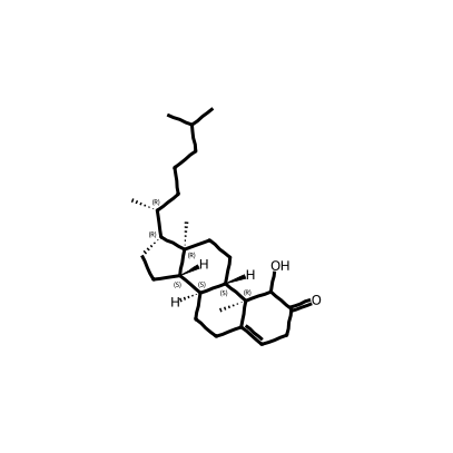 CC(C)CCC[C@@H](C)[C@H]1CC[C@H]2[C@@H]3CCC4=CCC(=O)C(O)[C@]4(C)[C@H]3CC[C@]12C